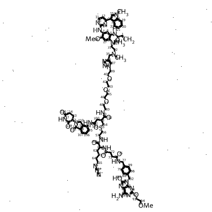 C=CC(=O)Nc1cc(Nc2nccc(-c3cn(C)c4ccccc34)n2)c(OC)cc1N(C)CCN(C)Cc1cn(CCOCCOCCOCCNC(=O)C(CSCCNC(=O)C(CCCCN=[N+]=[N-])NC(=O)CCC(=O)NCc2ccc(Cn3c(O)nc4c(N)nc(OCCOC)nc43)cc2)CC(=O)Nc2cccc3c2CN(C2CCC(=O)NC2=O)C3=O)nn1